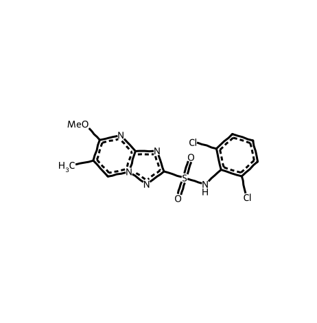 COc1nc2nc(S(=O)(=O)Nc3c(Cl)cccc3Cl)nn2cc1C